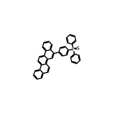 S=P(c1ccccc1)(c1ccccc1)c1ccc(-c2cc3c(ccc4c5ccccc5ccc43)c3ccccc23)cc1